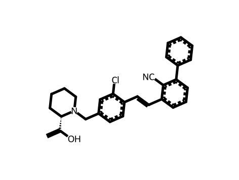 C=C(O)[C@@H]1CCCCN1Cc1ccc(/C=C/c2cccc(-c3ccccc3)c2C#N)c(Cl)c1